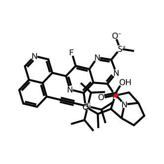 CC1Oc2nc(-c3cncc4cccc(C#C[Si](C(C)C)(C(C)C)C(C)C)c34)c(F)c3nc([S+](C)[O-])nc(c23)N2CC3CCC(C12)N3C(=O)O